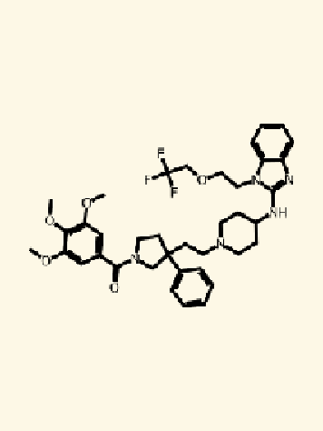 COc1cc(C(=O)N2CCC(CCN3CCC(Nc4nc5ccccc5n4CCOCC(F)(F)F)CC3)(c3ccccc3)C2)cc(OC)c1OC